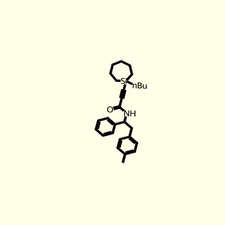 CCCC[Si]1(C#CC(=O)NC(Cc2ccc(C)cc2)c2ccccc2)CCCCCC1